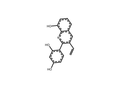 C=Cc1cc2cccc(O)c2nc1-c1ccc(O)cc1O